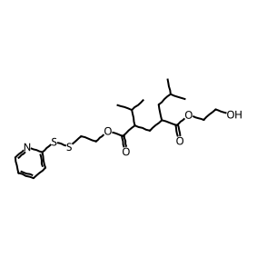 CC(C)CC(CC(C(=O)OCCSSc1ccccn1)C(C)C)C(=O)OCCO